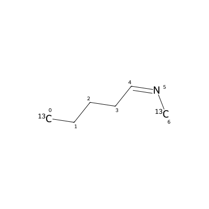 [13CH3]CCC/C=N\[13CH3]